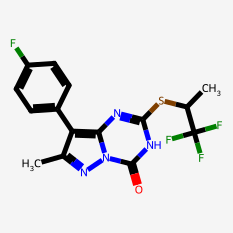 Cc1nn2c(=O)[nH]c(SC(C)C(F)(F)F)nc2c1-c1ccc(F)cc1